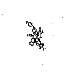 CC(C)c1nc(CN(C(=O)O)[C@H](C(=O)N[C@@H](Cc2ccccc2)[C@@H](O)CN2CCN(Cc3ccc(F)cc3)C[C@H]2C(=O)NC(C)(C)C)C(C)C)cs1